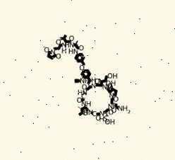 C#CNc1cc(OCc2ccc(NC(=O)[C@H](C)NC(=O)C(NC(=O)CCN3C(=O)C=CC3=O)C(C)C)cc2)ccc1CC[C@@H]1NC(=O)[C@H]([C@@H](C)[C@@H](O)CO)NC(=O)[C@@H]2CCCN2C(=O)[C@H](CC(N)=O)NC(=O)[C@H](CSO)NC(=O)CNC(=O)[C@H]([C@@H](C)CC)NC(=O)CNC1=O